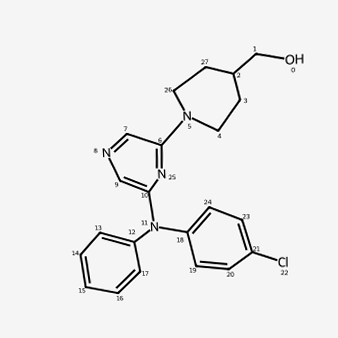 OCC1CCN(c2cncc(N(c3ccccc3)c3ccc(Cl)cc3)n2)CC1